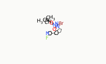 C[Si](C)(C)CCOCn1nc(Br)nc1Oc1c(-c2ccnc(F)c2)ccc2c1CCC2